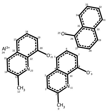 Cc1ccc2cccc([O-])c2n1.Cc1ccc2cccc([O-])c2n1.[Al+3].[O-]c1cccc2ccccc12